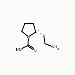 NCS[C@H]1CCCN1C(=O)O